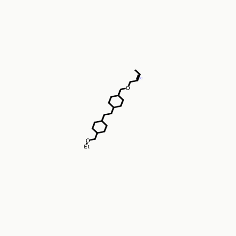 C/C=C\COCC1CCC(CCC2CCC(COCC)CC2)CC1